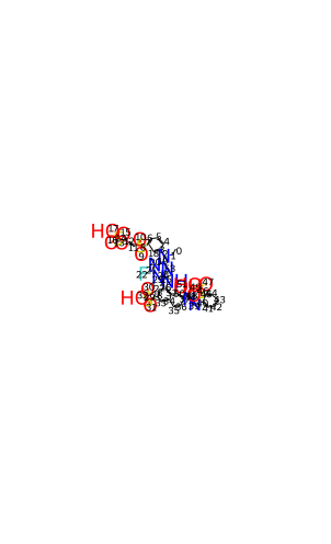 CCN(c1cccc(S(=O)(=O)/C=C/OS(=O)(=O)O)c1)c1nc(F)nc(Nc2cc(S(=O)(=O)O)cc3ccc(N=Nc4ccccc4S(=O)(=O)O)c(O)c23)n1